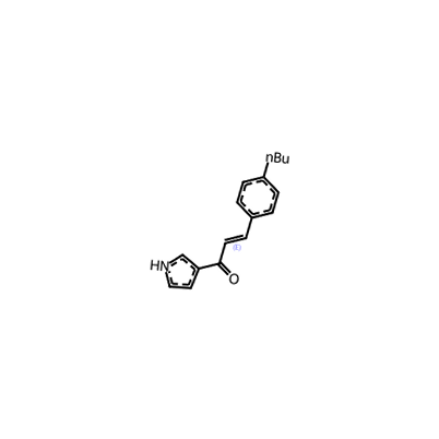 CCCCc1ccc(/C=C/C(=O)c2cc[nH]c2)cc1